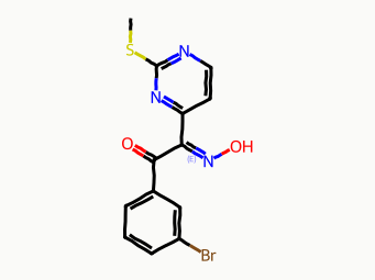 CSc1nccc(/C(=N\O)C(=O)c2cccc(Br)c2)n1